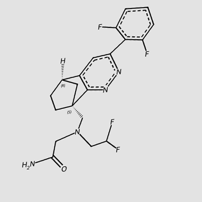 NC(=O)CN(CC(F)F)C[C@]12CC[C@H](C1)c1cc(-c3c(F)cccc3F)nnc12